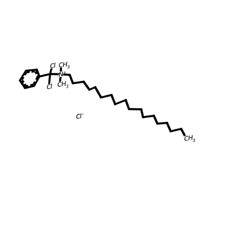 CCCCCCCCCCCCCCCCCC[N+](C)(C)C(Cl)(Cl)c1ccccc1.[Cl-]